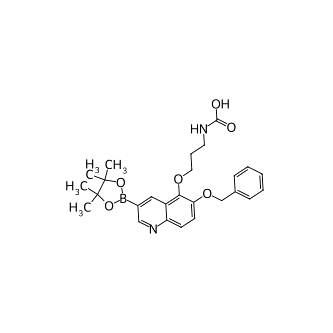 CC1(C)OB(c2cnc3ccc(OCc4ccccc4)c(OCCCNC(=O)O)c3c2)OC1(C)C